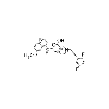 COc1ccc2nccc([C@@H](F)CC[C@@H]3CCN(CC#Cc4cc(F)ccc4F)C[C@@H]3C(=O)O)c2c1